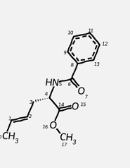 CC=CC[C@H](NC(=O)c1ccccc1)C(=O)OC